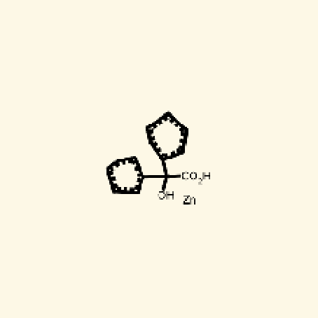 O=C(O)C(O)(c1ccccc1)c1ccccc1.[Zn]